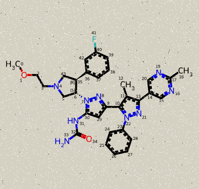 COCCN1C[C@@H](n2nc(-c3c(C)c(-c4cnc(C)nc4)nn3-c3ccccc3)cc2NC(N)=O)[C@H](c2cccc(F)c2)C1